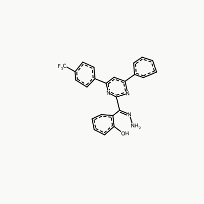 NN=C(c1nc(-c2ccccc2)cc(-c2ccc(C(F)(F)F)cc2)n1)c1ccccc1O